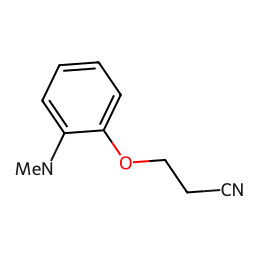 CNc1ccccc1OCCC#N